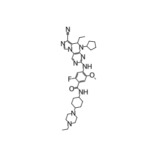 CCC1c2c(C#N)ncn2-c2cnc(Nc3cc(F)c(C(=O)NC4CCC(N5CCN(CC)CC5)CC4)cc3OC)nc2N1C1CCCC1